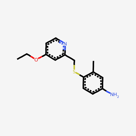 CCOc1ccnc(CSc2ccc(N)cc2C)c1